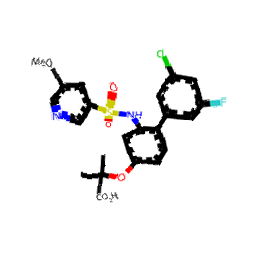 COc1cncc(S(=O)(=O)Nc2cc(OC(C)(C)C(=O)O)ccc2-c2cc(F)cc(Cl)c2)c1